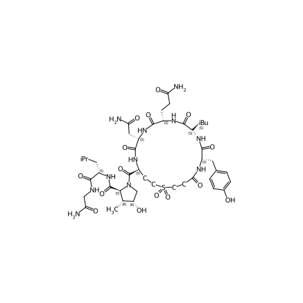 CC[C@H](C)[C@@H]1NC(=O)[C@H](Cc2ccc(O)cc2)NC(=O)CCS(=O)(=O)CC[C@@H](C(=O)N2C[C@H](O)[C@H](C)[C@H]2C(=O)N[C@@H](CC(C)C)C(=O)NCC(N)=O)NC(=O)[C@H](CC(N)=O)NC(=O)[C@H](CCC(N)=O)NC1=O